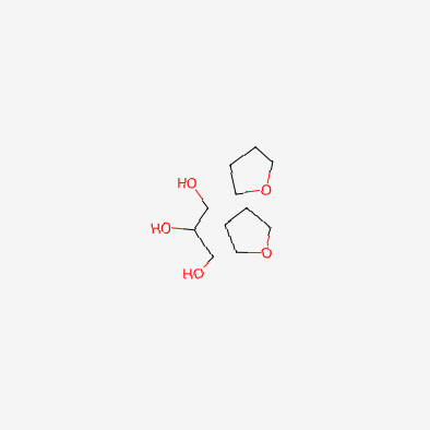 C1CCOC1.C1CCOC1.OCC(O)CO